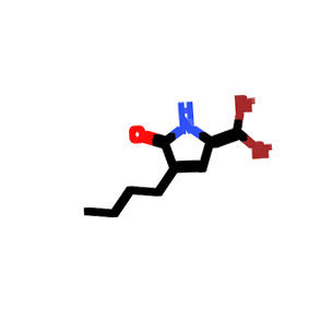 CCCCC1=CC(=C(Br)Br)NC1=O